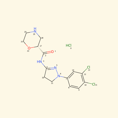 Cl.O=C(NC1=NN(c2ccc(Cl)c(Cl)c2)CC1)[C@H]1CNCCO1